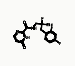 CCC(F)(CNC(=O)c1nccc(=O)[nH]1)Cc1ccc(F)cc1F